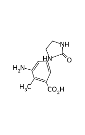 Cc1c(N)cccc1C(=O)O.O=C1NCCN1